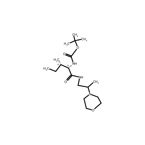 CC[C@H](C)[C@H](NC(=O)OC(C)(C)C)C(=O)NCC(C)N1CCOCC1